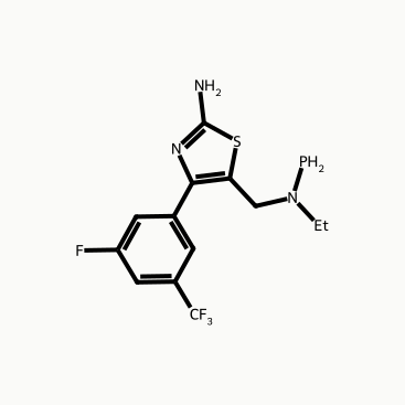 CCN(P)Cc1sc(N)nc1-c1cc(F)cc(C(F)(F)F)c1